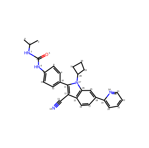 CC(C)NC(=O)Nc1ccc(-c2c(C#N)c3ccc(-c4ccccn4)cc3n2C2CCC2)cc1